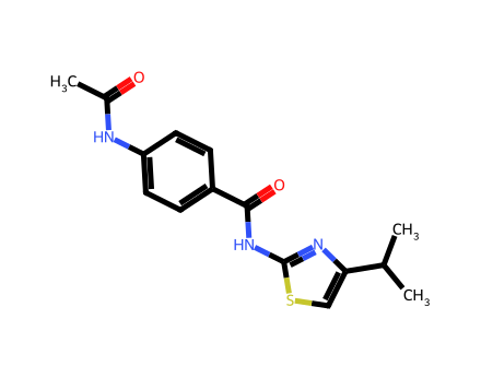 CC(=O)Nc1ccc(C(=O)Nc2nc(C(C)C)cs2)cc1